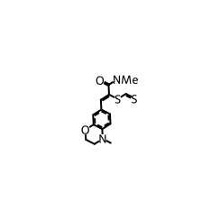 CNC(=O)/C(=C/c1ccc2c(c1)OCCN2C)SC=S